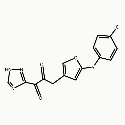 O=C(Cc1coc(Sc2ccc(Cl)cc2)c1)C(=O)c1nc[nH]n1